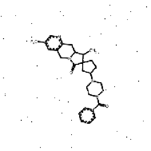 CC1C2Cc3ncc(C(F)(F)F)cc3CN2C(=O)C12CCC(N1CCN(C(=O)c3ccccc3)CC1)C2